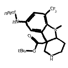 CCCCCNc1cc(C(F)(F)F)c2c(c1)C1(C(=O)OC(C)(C)C)CNCCC1N2C